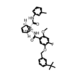 COc1cc(F)c(OCc2cccc(C(C)(C)C)c2)cc1C(=O)N[C@H]1[C@@H](C(=O)Nc2cccc(C)c2)[C@@H]2C=C[C@H]1C2